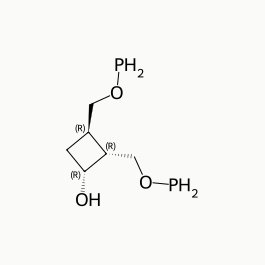 O[C@@H]1C[C@@H](COP)[C@@H]1COP